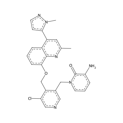 Cc1cc(-c2ccnn2C)c2cccc(OCc3c(Cl)cncc3Cn3cccc(N)c3=O)c2n1